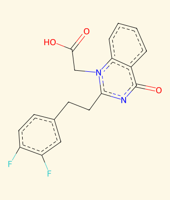 O=C(O)Cn1c(CCc2ccc(F)c(F)c2)nc(=O)c2ccccc21